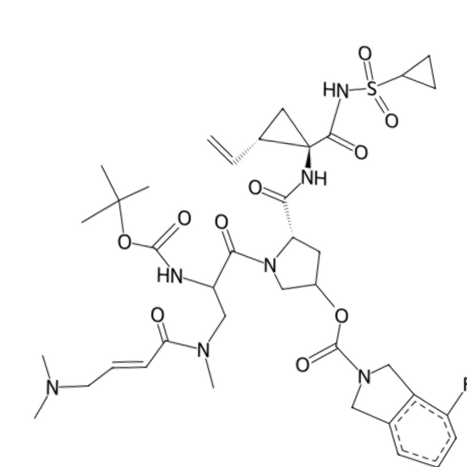 C=C[C@@H]1C[C@]1(NC(=O)[C@@H]1CC(OC(=O)N2Cc3cccc(F)c3C2)CN1C(=O)C(CN(C)C(=O)C=CCN(C)C)NC(=O)OC(C)(C)C)C(=O)NS(=O)(=O)C1CC1